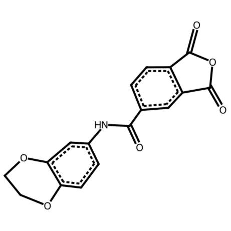 O=C(Nc1ccc2c(c1)OCCO2)c1ccc2c(c1)C(=O)OC2=O